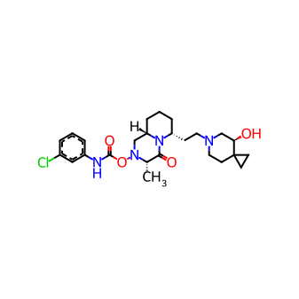 C[C@H]1C(=O)N2[C@@H](CCN3CCC4(CC4)[C@H](O)C3)CCC[C@H]2CN1OC(=O)Nc1cccc(Cl)c1